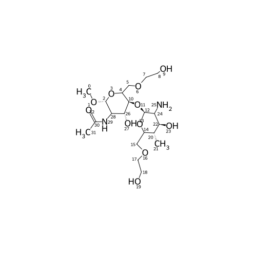 CO[C@@H]1OC(COCCO)[C@@H](O[C@@H]2OC(COCCO)[C@@H](C)[C@H](O)C2N)[C@H](O)C1NC(C)=O